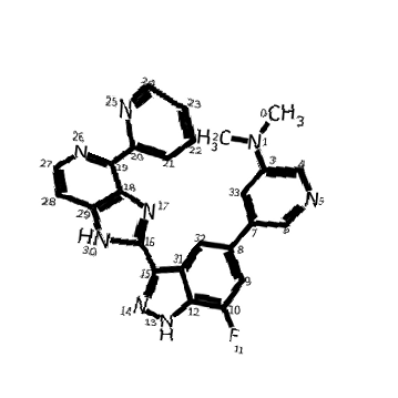 CN(C)c1cncc(-c2cc(F)c3[nH]nc(-c4nc5c(-c6ccccn6)nccc5[nH]4)c3c2)c1